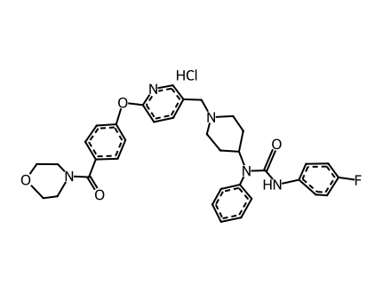 Cl.O=C(c1ccc(Oc2ccc(CN3CCC(N(C(=O)Nc4ccc(F)cc4)c4ccccc4)CC3)cn2)cc1)N1CCOCC1